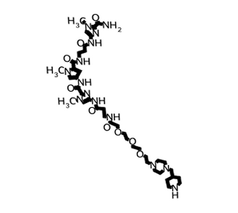 Cn1cc(NC(=O)c2nc(NC(=O)CCNC(=O)COCCOCCOCCN3CCN(CC4CCNCC4)CC3)cn2C)cc1C(=O)NCCC(=O)Nc1cn(C)c(C(N)=O)n1